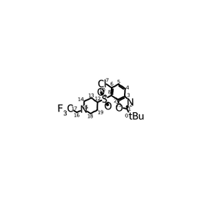 CC(C)(C)c1nc2ccc(Cl)c(S(=O)(=O)C3CCN(CC(F)(F)F)CC3)c2o1